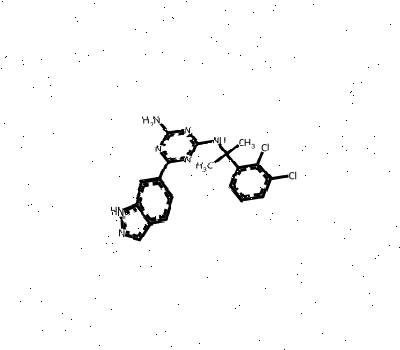 CC(C)(Nc1nc(N)nc(-c2ccc3cn[nH]c3c2)n1)c1cccc(Cl)c1Cl